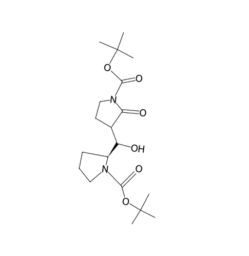 CC(C)(C)OC(=O)N1CCC(C(O)[C@@H]2CCCN2C(=O)OC(C)(C)C)C1=O